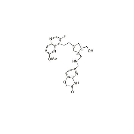 COc1ccc2ncc(F)c(CCN3C[C@@H](CO)[C@@H](CNCc4ccc5c(n4)NC(=O)CO5)C3)c2n1